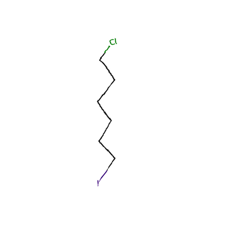 ClCCCCCCI